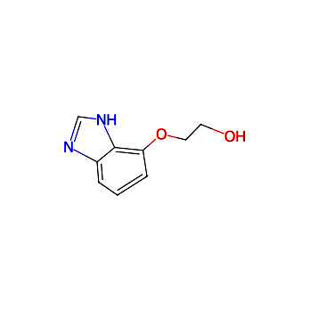 OCCOc1cccc2nc[nH]c12